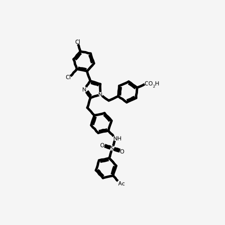 CC(=O)c1cccc(S(=O)(=O)Nc2ccc(Cc3nc(-c4ccc(Cl)cc4Cl)cn3Cc3ccc(C(=O)O)cc3)cc2)c1